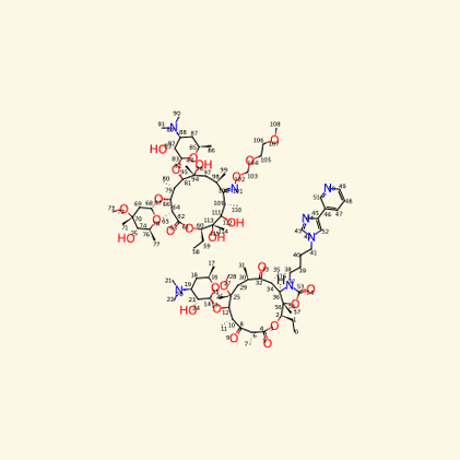 CC[C@H]1OC(=O)[C@H](C)C(=O)[C@H](C)[C@@H](O[C@@H]2O[C@H](C)C[C@H](N(C)C)[C@H]2O)[C@](C)(OC)C[C@@H](C)C(=O)[C@H](C)[C@H]2N(CCCCn3cnc(-c4cccnc4)c3)C(=O)O[C@]12C.CC[C@H]1OC(=O)[C@H](C)[C@@H](O[C@H]2C[C@@](C)(OC)[C@@H](O)[C@H](C)O2)[C@H](C)[C@@H](O[C@@H]2O[C@H](C)C[C@H](N(C)C)[C@H]2O)[C@](C)(O)C[C@@H](C)/C(=N\OCOCCOC)[C@H](C)[C@@H](O)[C@]1(C)O